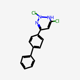 ClC1=CC(c2ccc(-c3ccccc3)cc2)=NN(Cl)N1